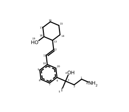 NCCC(O)(I)c1cccc(C=CC2CCCCC2O)c1